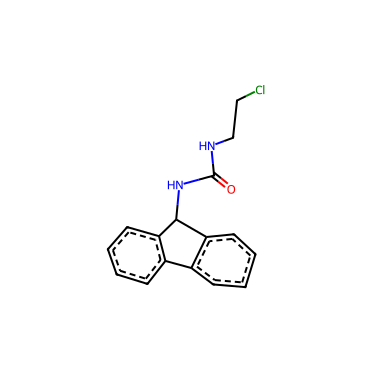 O=C(NCCCl)NC1c2ccccc2-c2ccccc21